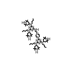 CCCCN(c1nc(NCCN2CCN(c3nc(N(CCCC)C4CC(C)(C)NC(C)(C)C4)nc(N(CCCC)C4CC(C)(C)NC(C)(C)C4)n3)CC2)nc(N(CCCC)C2CC(C)(C)NC(C)(C)C2)n1)C1CC(C)(C)NC(C)(C)C1